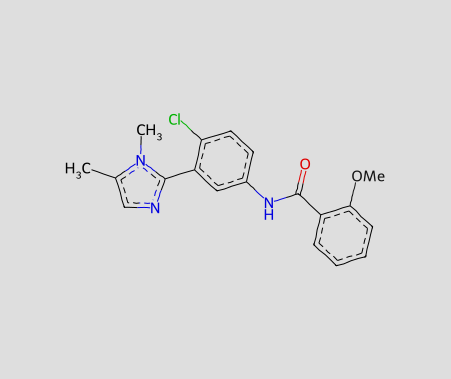 COc1ccccc1C(=O)Nc1ccc(Cl)c(-c2ncc(C)n2C)c1